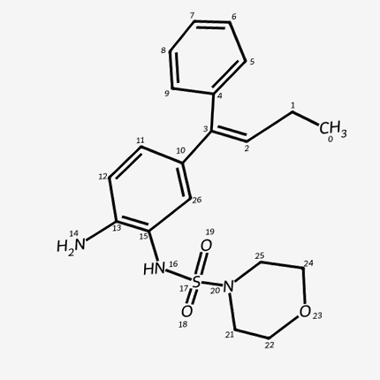 CC/C=C(\c1ccccc1)c1ccc(N)c(NS(=O)(=O)N2CCOCC2)c1